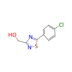 OCc1nsc(-c2ccc(Cl)cc2)n1